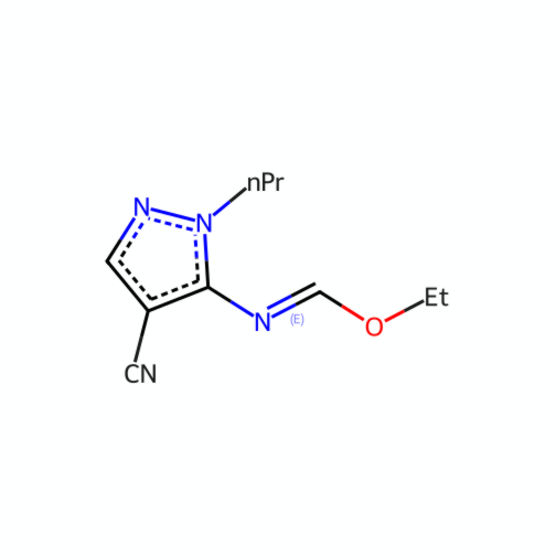 CCCn1ncc(C#N)c1/N=C/OCC